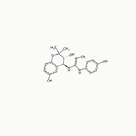 CC1(C)Oc2ccc(C#N)cc2[C@H](NC(=NC#N)Nc2ccc(O)cc2)[C@H]1O